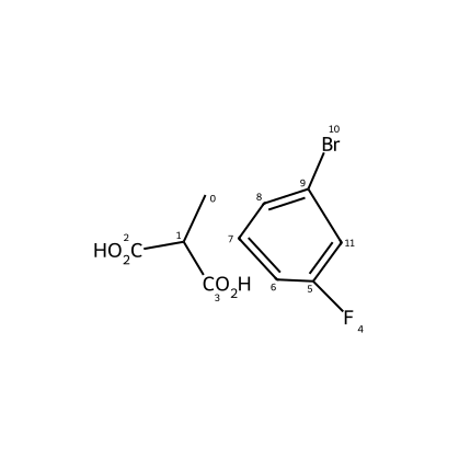 CC(C(=O)O)C(=O)O.Fc1cccc(Br)c1